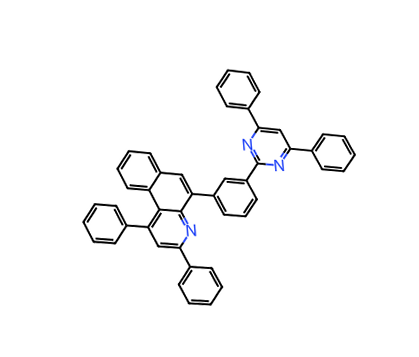 c1ccc(-c2cc(-c3ccccc3)nc(-c3cccc(-c4cc5ccccc5c5c(-c6ccccc6)cc(-c6ccccc6)nc45)c3)n2)cc1